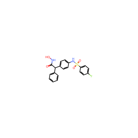 O=C(NO)C(c1ccccc1)c1ccc(NS(=O)(=O)c2ccc(F)cc2)cc1